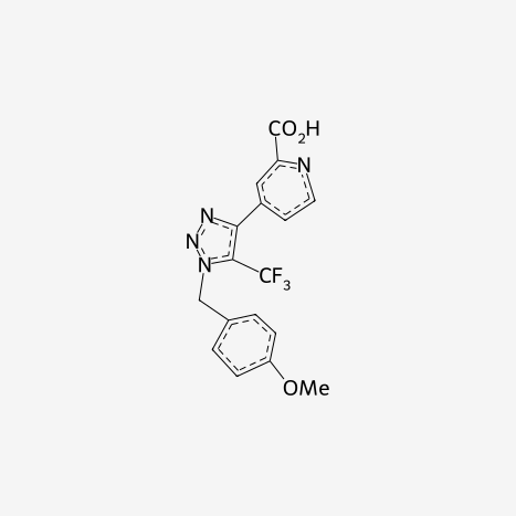 COc1ccc(Cn2nnc(-c3ccnc(C(=O)O)c3)c2C(F)(F)F)cc1